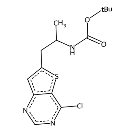 CC(Cc1cc2ncnc(Cl)c2s1)NC(=O)OC(C)(C)C